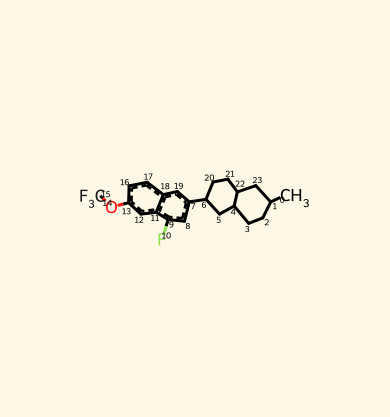 CC1CCC2CC(c3cc(F)c4cc(OC(F)(F)F)ccc4c3)CCC2C1